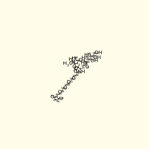 CNC(=O)[C@@H](CC(=O)[C@@H](CCC(=O)NC[C@@H](O)[C@H](O)[C@@H](O)[C@@H](O)CO)NC(=O)CCOCCOCCOCCOCCC1C(=O)C=CC1=O)C(C)C